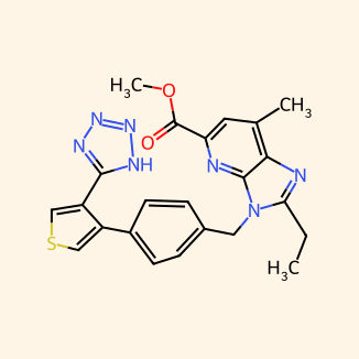 CCc1nc2c(C)cc(C(=O)OC)nc2n1Cc1ccc(-c2cscc2-c2nnn[nH]2)cc1